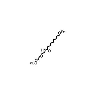 CCCCOCCOCCNC(=O)CCCCCCCCOCC